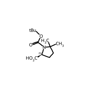 CC(C)(C)OC(=O)N1[C@H](C(=O)O)CCC1(C)C